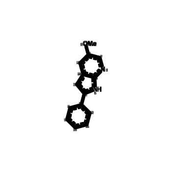 COc1cnc2[nH]c(-c3ccccc3)cc2c1